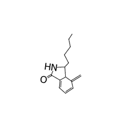 C=C1C=CC=C2C(=O)NC(CCCCC)C12